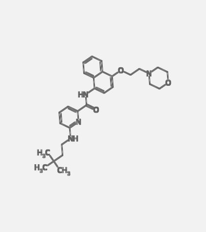 CC(C)(C)CCNc1cccc(C(=O)Nc2ccc(OCCN3CCOCC3)c3ccccc23)n1